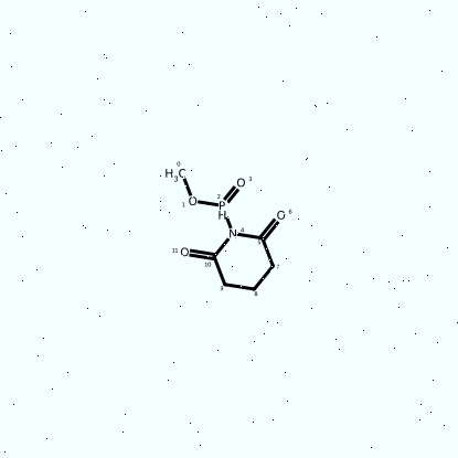 CO[PH](=O)N1C(=O)CCCC1=O